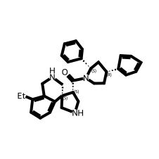 CCc1cccc2c1CNC[C@]21CNC[C@H]1C(=O)N1CC[C@@H](c2ccccc2)C[C@H]1c1ccccc1